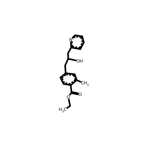 CCOC(=O)c1ccc(CC(O)Cc2ccccn2)cc1C